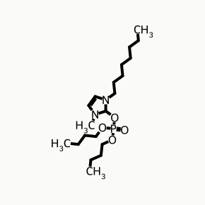 CCCCCCCCN1C=CN(C)C1OP(=O)(OCCCC)OCCCC